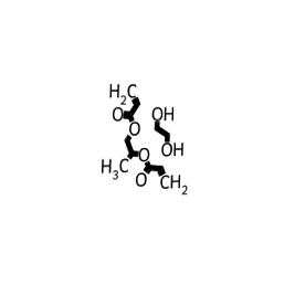 C=CC(=O)OCC(C)OC(=O)C=C.OCCO